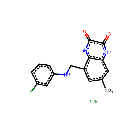 Br.O=c1[nH]c2cc([N+](=O)[O-])cc(CNc3cccc(F)c3)c2[nH]c1=O